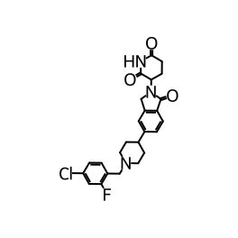 O=C1CCC(N2Cc3cc(C4CCN(Cc5ccc(Cl)cc5F)CC4)ccc3C2=O)C(=O)N1